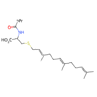 CCCC(=O)NC(CSC/C=C(\C)CC/C=C(\C)CCC=C(C)C)C(=O)O